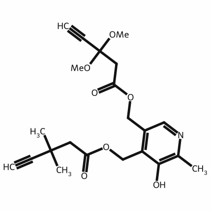 C#CC(C)(C)CC(=O)OCc1c(COC(=O)CC(C#C)(OC)OC)cnc(C)c1O